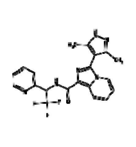 Cc1n[nH]c(C)c1-c1nc(C(=O)NC(c2ccccn2)C(F)(F)F)c2ccccn12